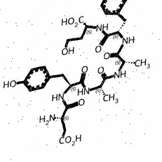 C[C@H](NC(=O)[C@H](C)NC(=O)[C@H](Cc1ccc(O)cc1)NC(=O)[C@@H](N)CC(=O)O)C(=O)N[C@@H](Cc1ccccc1)C(=O)N[C@@H](CCO)C(=O)O